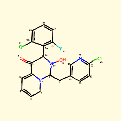 O=C1C2=CC=CCN2C(Cc2ccc(Cl)nc2)N(O)C1c1c(F)cccc1Cl